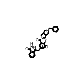 Cl.O=C(c1cc(Cc2n[nH]c(=O)c3ccccc23)ccc1F)N1CC2CN(Cc3ccccc3)CC2C1